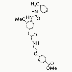 COC(=O)c1ccc(OCCNCC(=O)Cc2ccc(NC(=O)Nc3ccccc3C)c(OC)c2)cc1